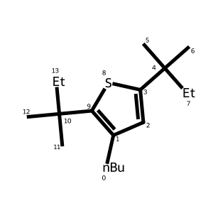 CCCCc1cc(C(C)(C)CC)sc1C(C)(C)CC